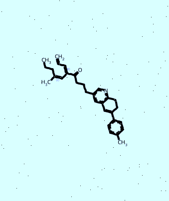 C=C/C=C(\C=C(\C)CCC)C(=O)CCCc1cnc2c(c1)C=C(c1ccc(C)cc1)CC2